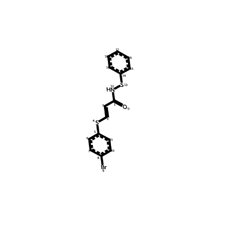 O=C(/C=C/Sc1ccc(Br)cc1)NSc1ccccc1